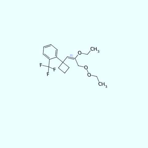 CCOOC/C(=C\C1(c2ccccc2C(F)(F)F)CCC1)OCC